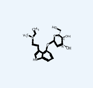 CCN(C)CCc1c[nH]c2cccc(OC3C[C@@H](O)[C@H](O)[C@@H](CO)O3)c12